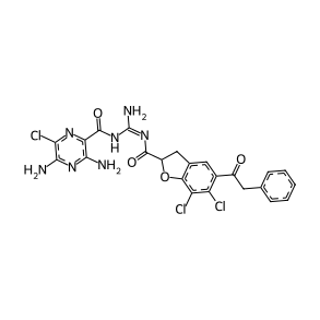 NC(=NC(=O)C1Cc2cc(C(=O)Cc3ccccc3)c(Cl)c(Cl)c2O1)NC(=O)c1nc(Cl)c(N)nc1N